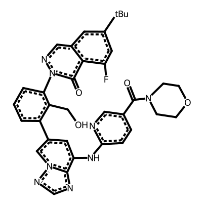 CC(C)(C)c1cc(F)c2c(=O)n(-c3cccc(-c4cc(Nc5ccc(C(=O)N6CCOCC6)cn5)c5ncnn5c4)c3CO)ncc2c1